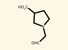 O=[C]CN1CCC(C(=O)O)C1